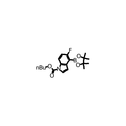 CCCCOC(=O)n1ccc2c(B3OC(C)(C)C(C)(C)O3)c(F)ccc21